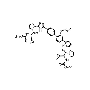 COC(=O)N[C@H](C(=O)N1CCC[C@H]1c1ncc(-c2ccc(-c3ccc(-c4cnc([C@@H]5CCCN5C(=O)[C@@H](NC(=O)OC)C5CC5)[nH]4)cc3OC(=O)O)cc2)[nH]1)C1CC1